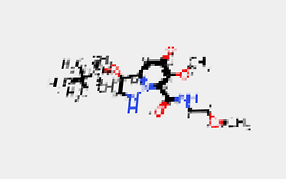 COCCNC(=O)c1c(OC)c(=O)cc2n1NCC2O[Si](C)(C)C(C)(C)C